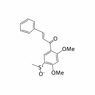 COc1cc(OC)c([S+](C)[O-])cc1C(=O)C=Cc1ccccc1